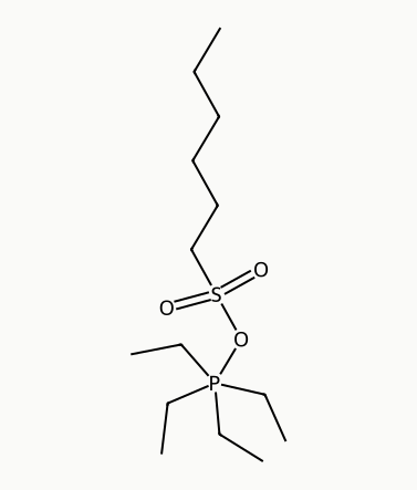 CCCCCCS(=O)(=O)OP(CC)(CC)(CC)CC